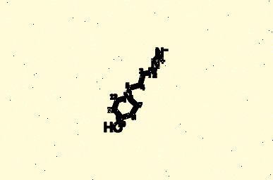 [N-]=[N+]=NCCCN1CCC(O)CC1